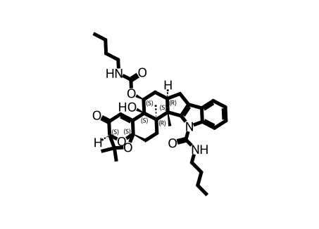 CCCCNC(=O)O[C@H]1C[C@H]2Cc3c(n(C(=O)NCCCC)c4ccccc34)[C@]2(C)[C@@]2(C)CC[C@@]34O[C@H](C(=O)C=C3[C@]12O)C(C)(C)O4